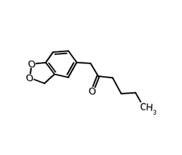 CCCCC(=O)Cc1ccc2c(c1)COO2